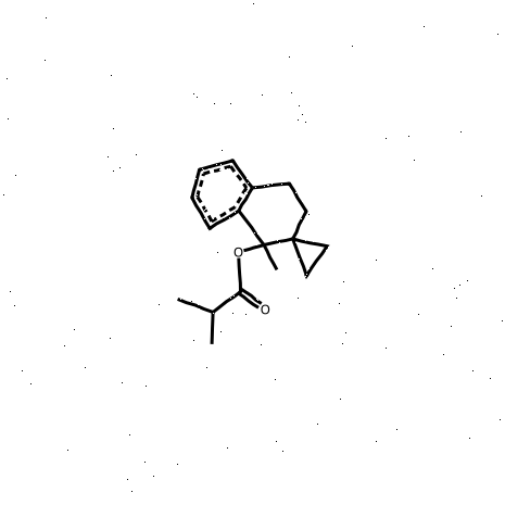 CC(C)C(=O)OC1(C)c2ccccc2CCC12CC2